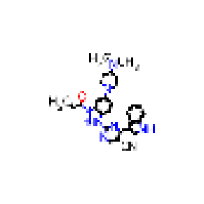 C=CC(=O)Nc1cc(N2CCC(N(C)C)CC2)ccc1Nc1ncc(C#N)c(-c2c[nH]c3ccccc23)n1